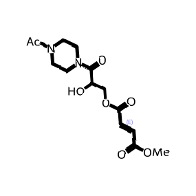 COC(=O)/C=C/C(=O)OCC(O)C(=O)N1CCN(C(C)=O)CC1